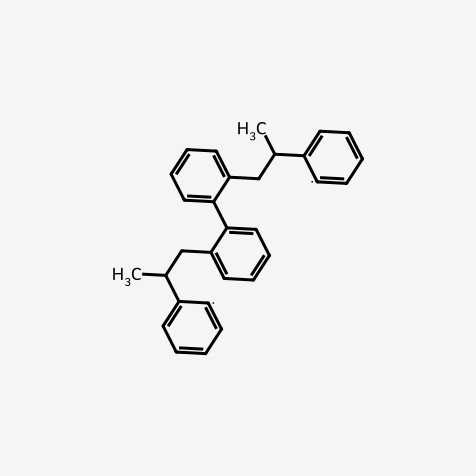 CC(Cc1ccccc1-c1ccccc1CC(C)c1[c]cccc1)c1[c]cccc1